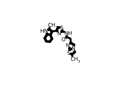 Cc1cn2cc(CC(=O)Nc3nc(-c4c(C)[nH]c5ccccc45)cs3)nc2s1